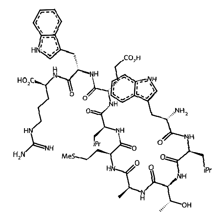 CSCC[C@H](NC(=O)[C@H](C)NC(=O)[C@@H](NC(=O)[C@H](CC(C)C)NC(=O)[C@@H](N)Cc1c[nH]c2ccccc12)[C@@H](C)O)C(=O)N[C@@H](CC(C)C)C(=O)N[C@@H](CCC(=O)O)C(=O)N[C@@H](Cc1c[nH]c2ccccc12)C(=O)N[C@@H](CCCNC(=N)N)C(=O)O